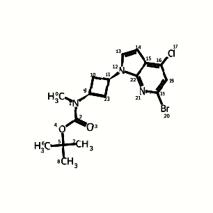 CN(C(=O)OC(C)(C)C)[C@H]1C[C@@H](n2ccc3c(Cl)cc(Br)nc32)C1